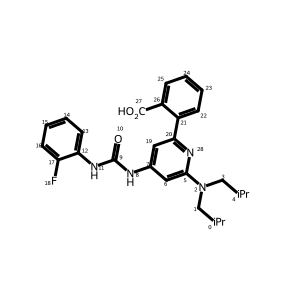 CC(C)CN(CC(C)C)c1cc(NC(=O)Nc2ccccc2F)cc(-c2ccccc2C(=O)O)n1